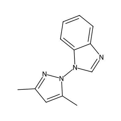 Cc1cc(C)n(-n2cnc3ccccc32)n1